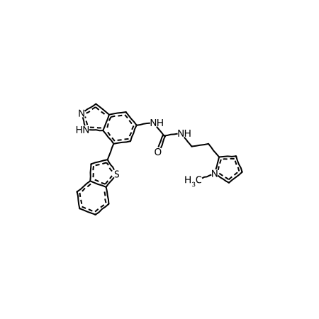 Cn1cccc1CCNC(=O)Nc1cc(-c2cc3ccccc3s2)c2[nH]ncc2c1